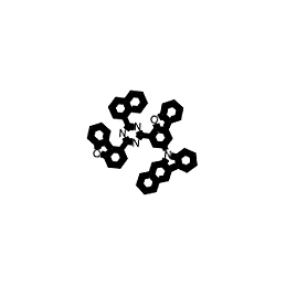 c1ccc2cc3c(cc2c1)c1ccccc1n3-c1cc(-c2nc(-c3cccc4ccccc34)nc(-c3cccc4oc5ccccc5c34)n2)c2oc3ccccc3c2c1